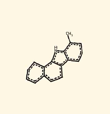 Cc1cccc2c1[nH]c1c3ccccc3ccc21